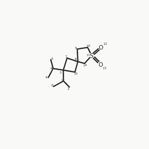 CC(C)C1(C(C)C)CC2(CCS(=O)(=O)C2)C1